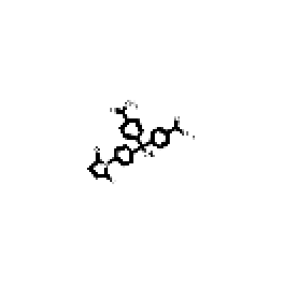 CC(=O)c1ccc(C(C)(c2ccc(C(C)=O)cc2)c2ccc(N3C(=O)C=CC3=O)cc2)cc1